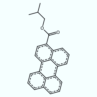 CC(C)COC(=O)c1ccc2c3cccc4cccc(c5cccc1c52)c43